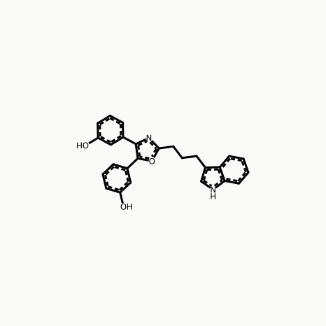 Oc1cccc(-c2nc(CCCc3c[nH]c4ccccc34)oc2-c2cccc(O)c2)c1